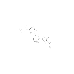 Cc1[nH]c(-c2cc(-c3cncc(N4CCOCC4)c3)ccn2)nc1C(=O)NC(C)C